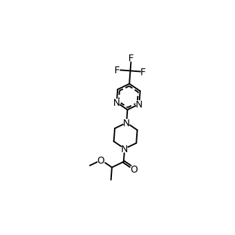 COC(C)C(=O)N1CCN(c2ncc(C(F)(F)F)cn2)CC1